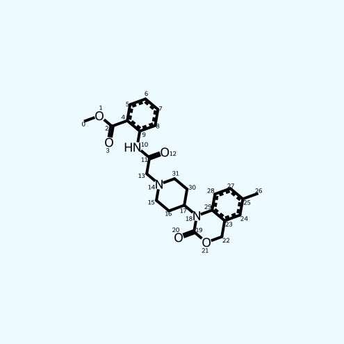 COC(=O)c1ccccc1NC(=O)CN1CCC(N2C(=O)OCc3cc(C)ccc32)CC1